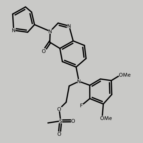 COc1cc(OC)c(F)c(N(CCOS(C)(=O)=O)c2ccc3ncn(-c4cccnc4)c(=O)c3c2)c1